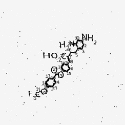 Nc1ccc(CCC(=Cc2ccc(OC(=O)c3ccc(OCC(F)(F)F)cc3)cc2)C(=O)O)c(N)c1